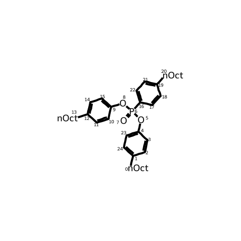 CCCCCCCCc1ccc(OP(=O)(Oc2ccc(CCCCCCCC)cc2)c2ccc(CCCCCCCC)cc2)cc1